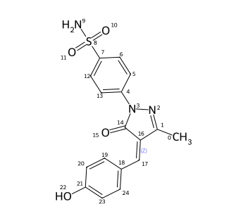 CC1=NN(c2ccc(S(N)(=O)=O)cc2)C(=O)/C1=C\c1ccc(O)cc1